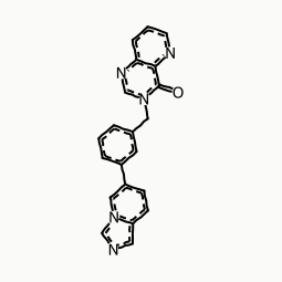 O=c1c2ncccc2ncn1Cc1cccc(-c2ccc3cncn3c2)c1